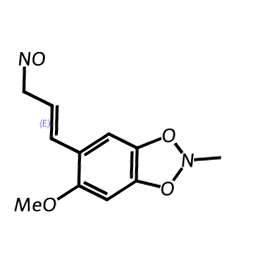 COc1cc2c(cc1/C=C/CN=O)ON(C)O2